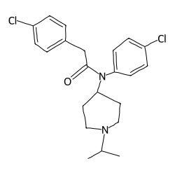 CC(C)N1CCC(N(C(=O)Cc2ccc(Cl)cc2)c2ccc(Cl)cc2)CC1